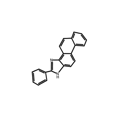 c1ccc(-c2nc3c(ccc4c5ccccc5ccc43)[nH]2)cc1